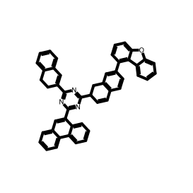 C1=CC(c2nc(C3=Cc4ccccc4CC3)nc(-c3cc4ccccc4c4ccccc34)n2)Cc2cc(-c3cccc4oc5ccccc5c34)ccc21